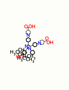 CC(C)(C)c1cc(-c2nc(-c3ccc(N4CCC(C(=O)O)CC4)cc3)c(-c3ccc(N4CCC(C(=O)O)CC4)cc3)n2-c2ccccc2)cc(C(C)(C)C)c1O